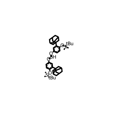 CC(C)(C)[Si](C)(C)Oc1ccc(OBOc2ccc(O[Si](C)(C)C(C)(C)C)c(C34CC5CC(CC(C5)C3)C4)c2)cc1C12CC3CC(CC(C3)C1)C2